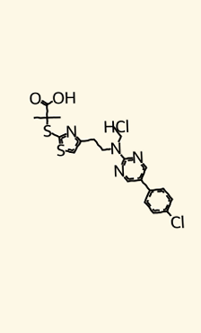 CCN(CCc1csc(SC(C)(C)C(=O)O)n1)c1ncc(-c2ccc(Cl)cc2)cn1.Cl